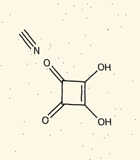 C#N.O=c1c(O)c(O)c1=O